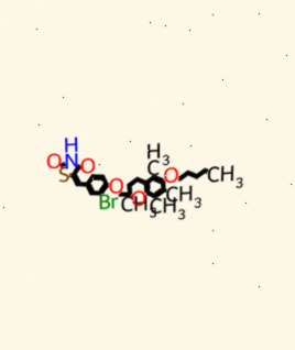 CCCCCOc1c(C)c(C)c2c(c1C)CCC(C)(COc1ccc(C=C3SC(=O)NC3=O)cc1Br)O2